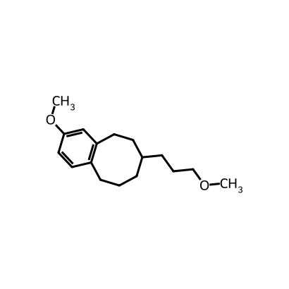 COCCCC1CCCc2ccc(OC)cc2CC1